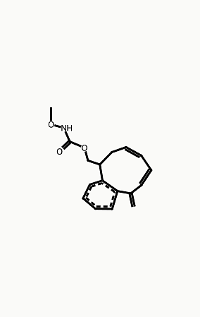 C=C1/C=C\C=C/CC(COC(=O)NOC)c2ccccc21